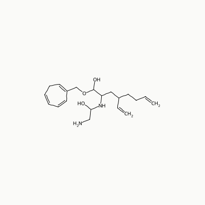 C=CCCC(C=C)CC(NC(O)CN)C(O)OCC1=CCC=CC=C1